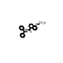 O=C(O)COc1cccc2c1CCCC2C(=O)NOC(c1ccccc1)c1ccccc1